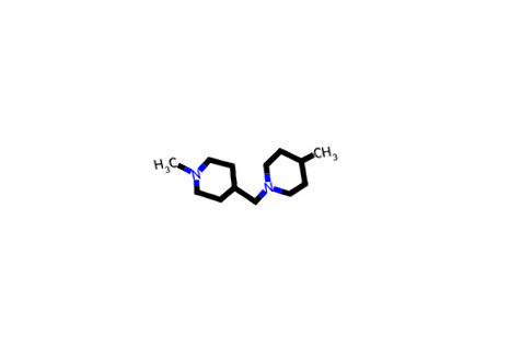 CC1CCN(CC2CCN(C)CC2)CC1